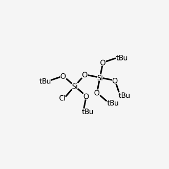 CC(C)(C)O[Si](Cl)(OC(C)(C)C)O[Si](OC(C)(C)C)(OC(C)(C)C)OC(C)(C)C